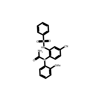 CSc1ccccc1N(C(N)=O)c1ccc(C#N)cc1NS(=O)(=O)c1ccccc1